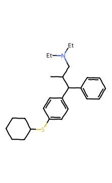 CCN(CC)CC(C)C(c1ccccc1)c1ccc(SC2CCCCC2)cc1